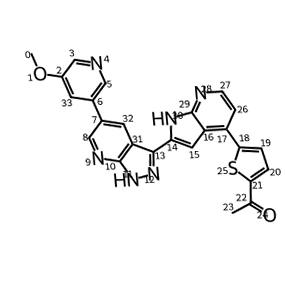 COc1cncc(-c2cnc3[nH]nc(-c4cc5c(-c6ccc(C(C)=O)s6)ccnc5[nH]4)c3c2)c1